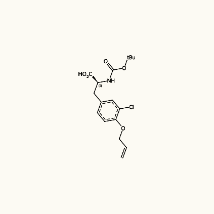 C=CCOc1ccc(C[C@H](NC(=O)OC(C)(C)C)C(=O)O)cc1Cl